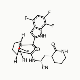 N#C[C@@H](C[C@H]1CCCNC1=O)NC(=O)[C@H]1[C@@H]2CC[C@@H](CC2(F)F)N1C(=O)c1cc2c(F)cc(F)c(F)c2[nH]1